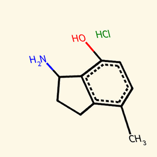 Cc1ccc(O)c2c1CCC2N.Cl